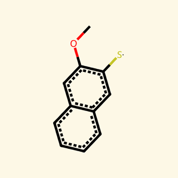 COc1cc2ccccc2cc1[S]